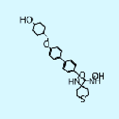 O=C(NO)C1(NCc2ccc(-c3ccc(OC[C@H]4CC[C@H](O)CC4)cc3)cc2)CCSCC1